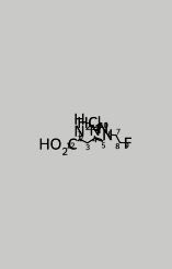 Cl.N[C@@H](Cc1cn(CCF)nn1)C(=O)O